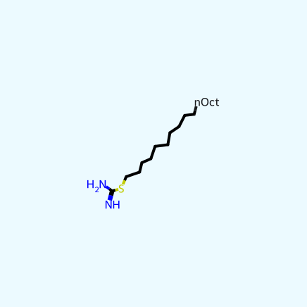 CCCCCCCCCCCCCCCCCCSC(=N)N